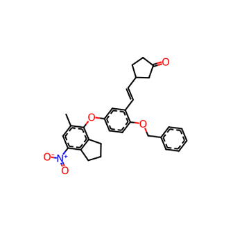 Cc1cc([N+](=O)[O-])c2c(c1Oc1ccc(OCc3ccccc3)c(C=CC3CCC(=O)C3)c1)CCC2